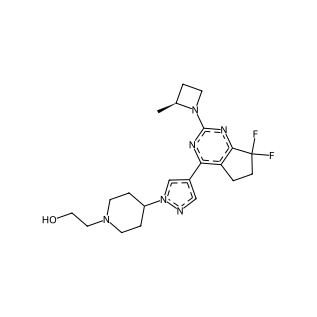 C[C@H]1CCN1c1nc(-c2cnn(C3CCN(CCO)CC3)c2)c2c(n1)C(F)(F)CC2